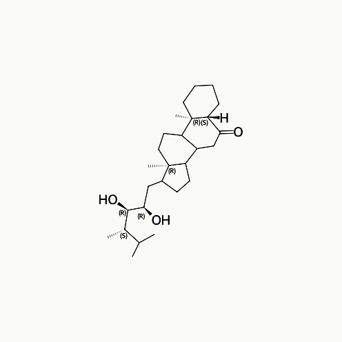 CC(C)[C@H](C)[C@@H](O)[C@H](O)CC1CCC2C3CC(=O)[C@H]4CCCC[C@]4(C)C3CC[C@]12C